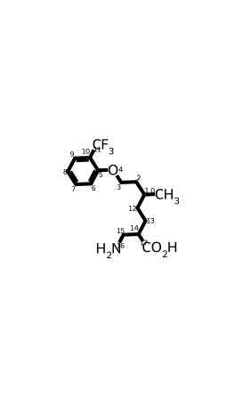 CC(CCOc1ccccc1C(F)(F)F)CCC(CN)C(=O)O